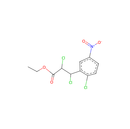 CCOC(=O)C(Cl)C(Cl)c1cc([N+](=O)[O-])ccc1Cl